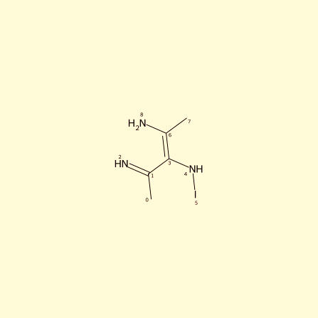 CC(=N)/C(NI)=C(/C)N